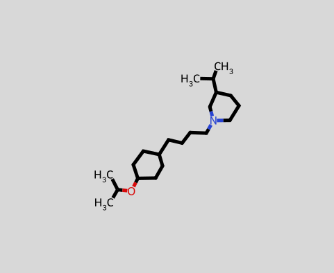 CC(C)OC1CCC(CCCCN2CCCC(C(C)C)C2)CC1